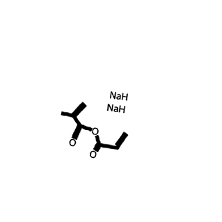 C=CC(=O)OC(=O)C(=C)C.[NaH].[NaH]